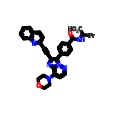 CC(C)C(NC(=O)c1ccc(-c2c(C#Cc3ccc4ccccc4n3)nc3c(N4CCOCC4)ccnn23)cc1)C(=O)O